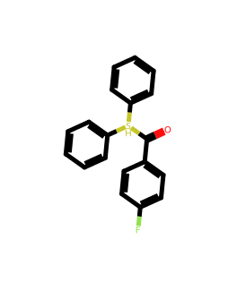 O=C(c1ccc(F)cc1)[SH](c1ccccc1)c1ccccc1